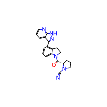 N#CN1CCC[C@H]1C(=O)N1CCc2c(-c3n[nH]c4ncccc34)cccc21